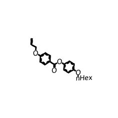 C=CCOc1ccc(C(=O)Oc2ccc(OCCCCCC)cc2)cc1